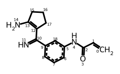 C=CC(=O)Nc1cccc(C(=N)C2=C(N)CCC2)c1